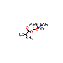 C=C(C)C(=O)OCO[N+](CC)(OC)OC